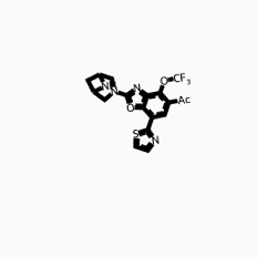 CC(=O)c1cc(-c2nccs2)c2oc(N3CC4CC(C3)N4)nc2c1OC(F)(F)F